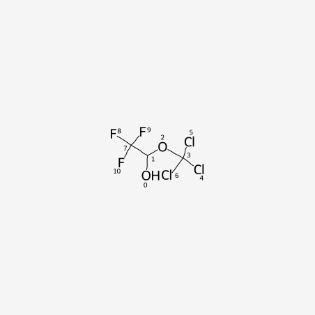 OC(OC(Cl)(Cl)Cl)C(F)(F)F